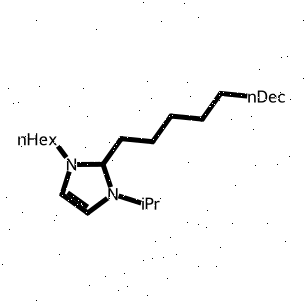 CCCCCCCCCCCCCCCC1N(CCCCCC)C=CN1C(C)C